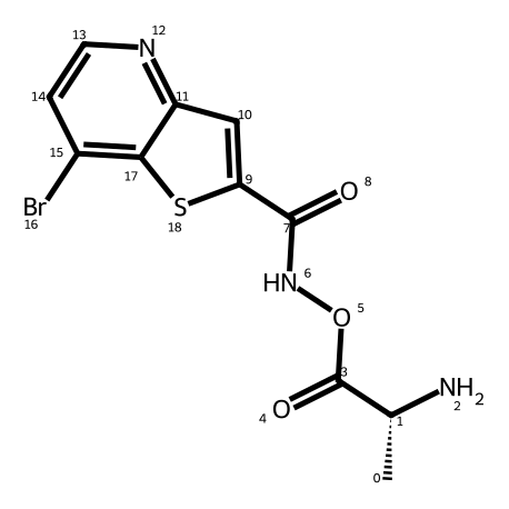 C[C@@H](N)C(=O)ONC(=O)c1cc2nccc(Br)c2s1